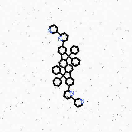 c1ccc(C2(c3ccccc3)c3cc(-c4cccc(-c5cccnc5)n4)ccc3-c3ccc4c5c(ccc4c32)-c2ccc(-c3cccc(-c4cccnc4)n3)cc2C5(c2ccccc2)c2ccccc2)cc1